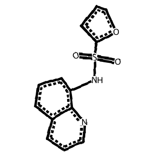 O=S(=O)(Nc1cccc2cccnc12)c1ccco1